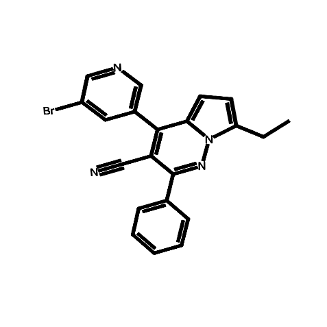 CCc1ccc2c(-c3cncc(Br)c3)c(C#N)c(-c3ccccc3)nn12